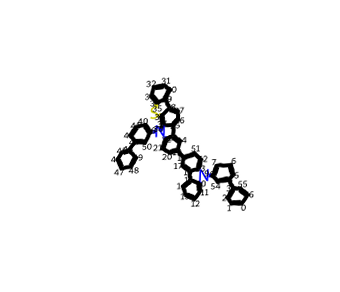 c1ccc(-c2cccc(-n3c4ccccc4c4cc(-c5ccc6c(c5)c5ccc7c8ccccc8sc7c5n6-c5cccc(-c6ccccc6)c5)ccc43)c2)cc1